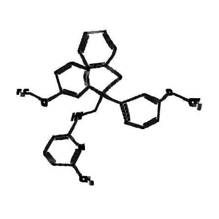 FC(F)(F)Oc1cccc(C(CNc2cccc(C(F)(F)F)n2)(Cc2ccccc2)c2cccc(OC(F)(F)F)c2)c1